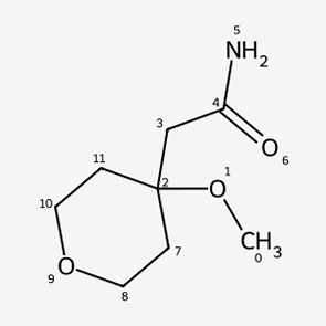 COC1(CC(N)=O)CCOCC1